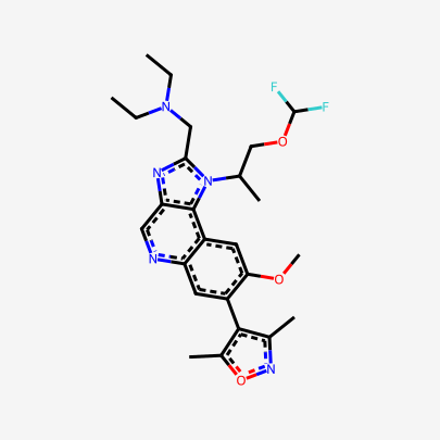 CCN(CC)Cc1nc2cnc3cc(-c4c(C)noc4C)c(OC)cc3c2n1C(C)COC(F)F